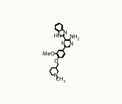 COc1cc(-c2cnc(N)c(-c3nc4ccccc4[nH]3)n2)ccc1OCC1CCCN(C)C1